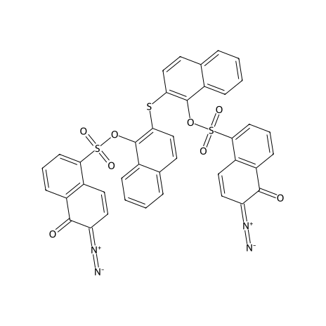 [N-]=[N+]=C1C=Cc2c(cccc2S(=O)(=O)Oc2c(Sc3ccc4ccccc4c3OS(=O)(=O)c3cccc4c3C=CC(=[N+]=[N-])C4=O)ccc3ccccc23)C1=O